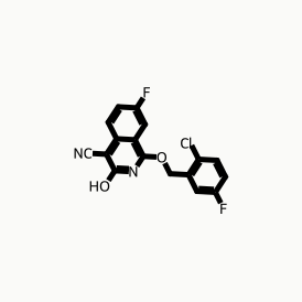 N#Cc1c(O)nc(OCc2cc(F)ccc2Cl)c2cc(F)ccc12